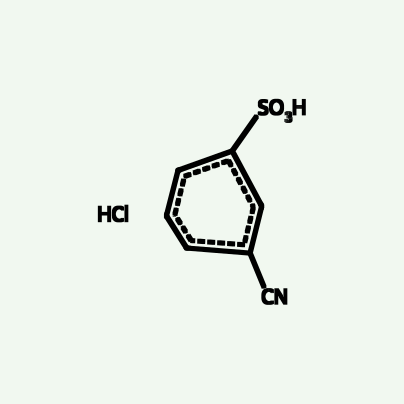 Cl.N#Cc1cccc(S(=O)(=O)O)c1